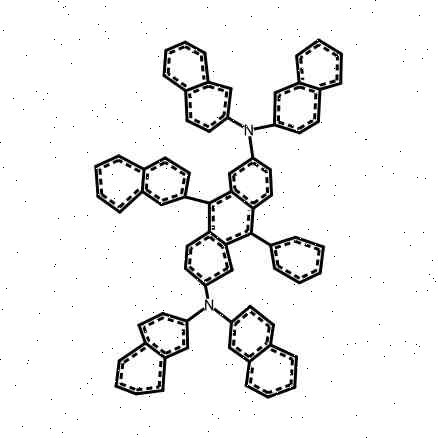 c1ccc(-c2c3ccc(N(c4ccc5ccccc5c4)c4ccc5ccccc5c4)cc3c(-c3ccc4ccccc4c3)c3ccc(N(c4ccc5ccccc5c4)c4ccc5ccccc5c4)cc23)cc1